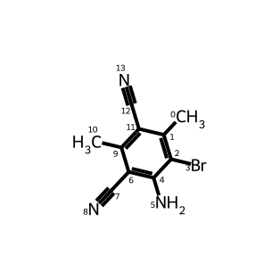 Cc1c(Br)c(N)c(C#N)c(C)c1C#N